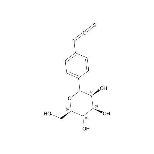 OC[C@H]1OC(c2ccc(N=C=S)cc2)[C@@H](O)[C@@H](O)[C@@H]1O